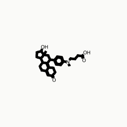 CN(CCCC(=O)O)c1ccc(C2CC3(C)C(O)CCC3C3CCC4=CC(=O)CCC4=C23)cc1